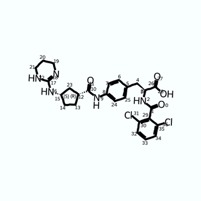 O=C(N[C@@H](Cc1ccc(NC(=O)[C@@H]2CC[C@H](NC3=NCCCN3)C2)cc1)C(=O)O)c1c(Cl)cccc1Cl